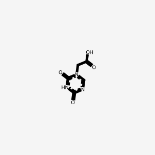 O=C(O)Cn1cnc(=O)[nH]c1=O